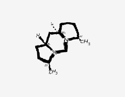 C[C@H]1CC[C@@H]2C[C@H]3CC[C@H](C)N3CN21